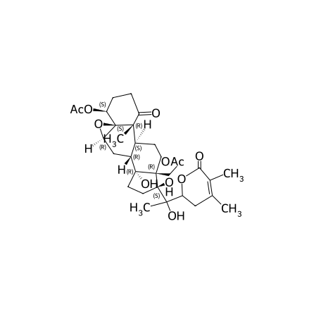 CC(=O)OC[C@]12CC[C@H]3[C@@H](C[C@H]4O[C@]45[C@@H](OC(C)=O)CCC(=O)[C@]35C)[C@]1(O)CC[C@@]2(O)C(C)(O)C1CC(C)=C(C)C(=O)O1